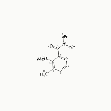 CCCN(CCC)C(=O)c1cccc(C)c1OC